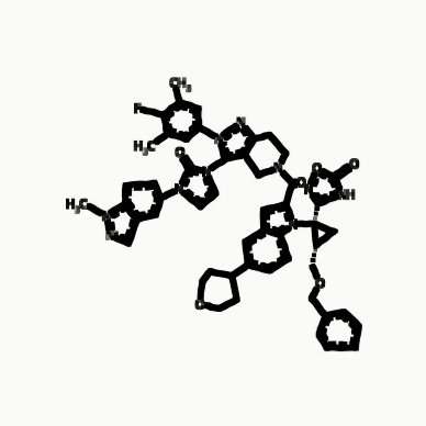 Cc1cc(-n2nc3c(c2-n2ccn(-c4ccc5c(cnn5C)c4)c2=O)CN(C(=O)c2cc4cc(C5CCOCC5)ccc4n2[C@@]2(c4noc(=O)[nH]4)C[C@@H]2COCc2ccccc2)CC3)cc(C)c1F